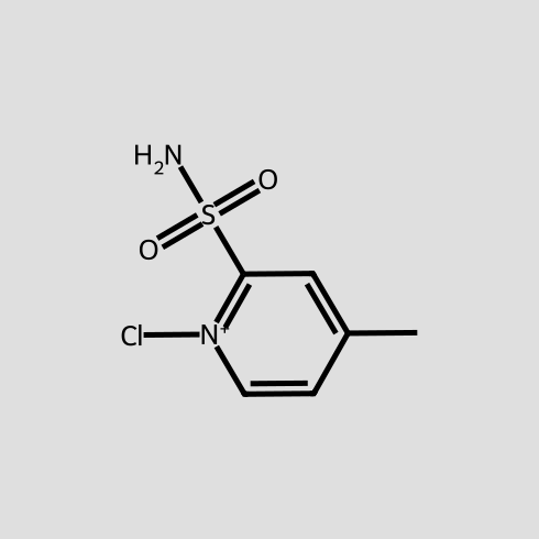 Cc1cc[n+](Cl)c(S(N)(=O)=O)c1